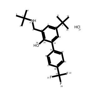 CC(C)(C)NCc1cc(C(C)(C)C)cc(-c2ccc(C(F)(F)F)cc2)c1O.Cl